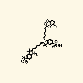 CC[N+]1=C(/C=C/C=C/C=C2/N(CCCCCC(=O)ON3C(=O)CCC3=O)c3ccc(S(=O)(=O)O)cc3C2(C)C)C(C)(C)c2cc(S(=O)(=O)[O-])ccc21